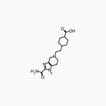 Cn1c(C(N)=O)nc2c1CCN(CCC1CCC(C(=O)O)CC1)C2